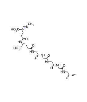 C/N=C/[C@@H](CCC(=O)N[C@@H](CCC(=O)NCC(=O)NCC(=O)NCC(=O)NCC(=O)NCC(=O)C(C)C)C(=O)O)C(=O)O